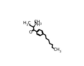 CCCCCCCc1ccc(C(=O)C(CC)PC)cc1